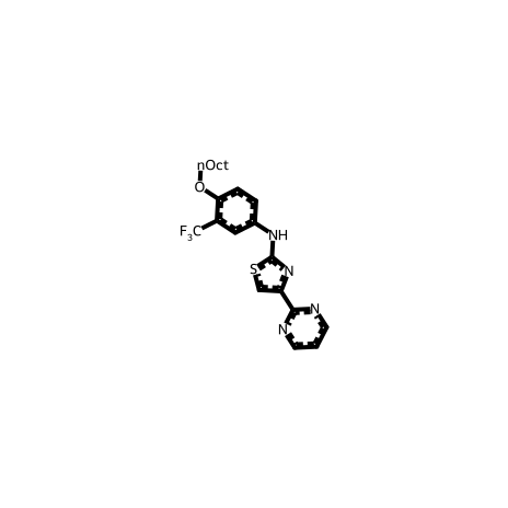 CCCCCCCCOc1ccc(Nc2nc(-c3ncccn3)cs2)cc1C(F)(F)F